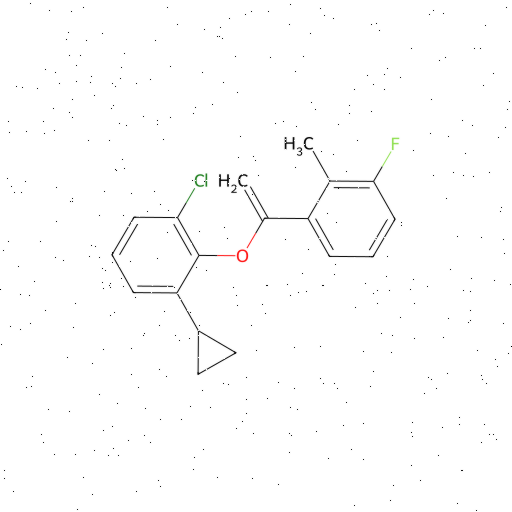 C=C(Oc1c(Cl)cccc1C1CC1)c1cccc(F)c1C